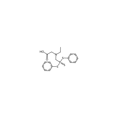 CCN(CC(=O)O)CP(=S)(Sc1ccccc1)Sc1ccccc1